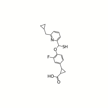 O=C(O)C1CC1c1ccc(OC(S)c2cccc(CC3CC3)n2)c(F)c1